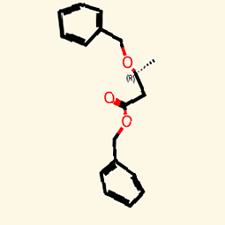 C[C@H](CC(=O)OCc1ccccc1)OCc1ccccc1